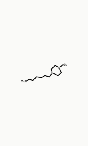 CCCCN1CCN(CCCCCCOC)CC1